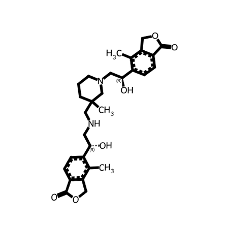 Cc1c([C@@H](O)CNCC2(C)CCCN(C[C@H](O)c3ccc4c(c3C)COC4=O)C2)ccc2c1COC2=O